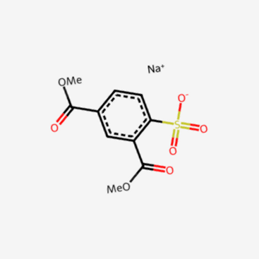 COC(=O)c1ccc(S(=O)(=O)[O-])c(C(=O)OC)c1.[Na+]